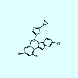 Fc1cc(Br)cc2c1-c1cc3cc(Cl)ccc3n1[C@@H](c1cnc(C3CC3)s1)O2